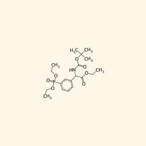 CCOC(=O)C(NC(=O)OC(C)(C)C)c1cccc(P(=O)(OCC)OCC)c1